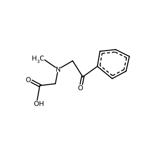 CN(CC(=O)O)CC(=O)c1ccccc1